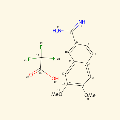 COc1cc2ccc(C(=N)N)cc2cc1OC.O=C(O)C(F)(F)F